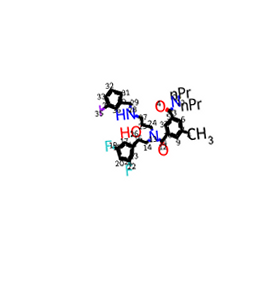 CCCN(CCC)C(=O)c1cc(C)cc(C(=O)N(CCc2cc(F)cc(F)c2)C[C@H](O)CNCc2cccc(I)c2)c1